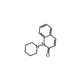 O=c1ccc2ccccc2n1N1CCCCC1